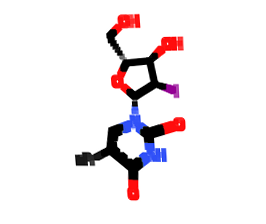 CCCc1cn([C@@H]2O[C@H](CO)[C@@H](O)[C@H]2I)c(=O)[nH]c1=O